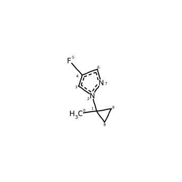 CC1(n2cc(F)cn2)CC1